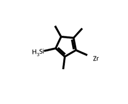 CC1=C(C)C(C)C([SiH3])=C1C.[Zr]